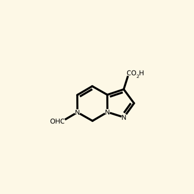 O=CN1C=Cc2c(C(=O)O)cnn2C1